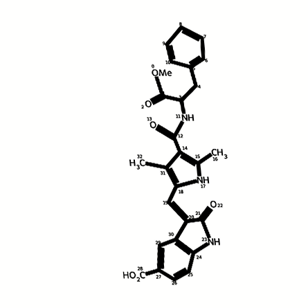 COC(=O)C(Cc1ccccc1)NC(=O)c1c(C)[nH]c(/C=C2\C(=O)Nc3ccc(C(=O)O)cc32)c1C